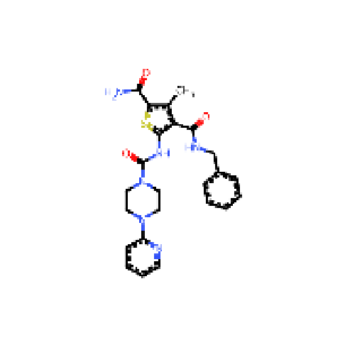 Cc1c(C(N)=O)sc(NC(=O)N2CCN(c3ccccn3)CC2)c1C(=O)NCc1ccccc1